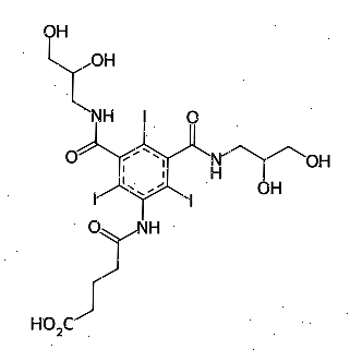 O=C(O)CCCC(=O)Nc1c(I)c(C(=O)NCC(O)CO)c(I)c(C(=O)NCC(O)CO)c1I